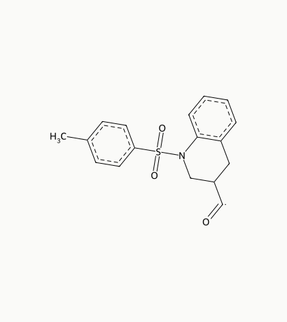 Cc1ccc(S(=O)(=O)N2CC([C]=O)Cc3ccccc32)cc1